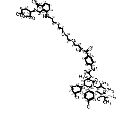 CC(C)[C@@H](CS(=O)(=O)C(C)C)N1C(=O)[C@@](C)(CC(=O)Nc2ccc(C(=O)NCCOCCOCCOCCNc3cccc4c3CN(C3CCC(=O)NC3=O)C4=O)cc2)C[C@H](c2cccc(Cl)c2)[C@H]1c1ccc(Cl)cc1